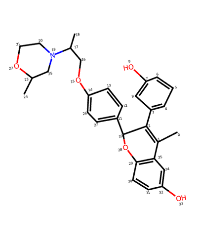 CC1=C(c2cccc(O)c2)C(c2ccc(OCC(C)N3CCOC(C)C3)cc2)Oc2ccc(O)cc21